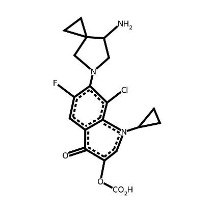 NC1CN(c2c(F)cc3c(=O)c(OC(=O)O)cn(C4CC4)c3c2Cl)CC12CC2